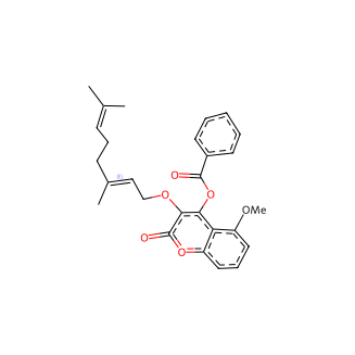 COc1cccc2oc(=O)c(OC/C=C(\C)CCC=C(C)C)c(OC(=O)c3ccccc3)c12